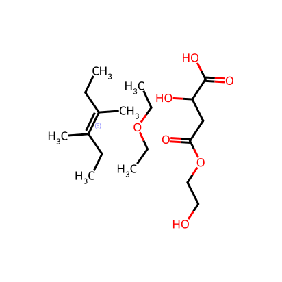 CC/C(C)=C(\C)CC.CCOCC.O=C(CC(O)C(=O)O)OCCO